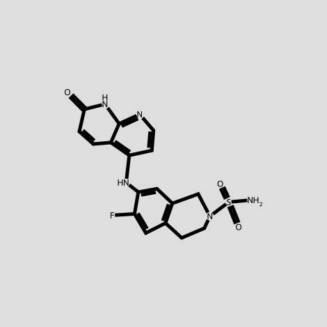 NS(=O)(=O)N1CCc2cc(F)c(Nc3ccnc4[nH]c(=O)ccc34)cc2C1